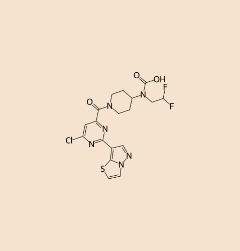 O=C(c1cc(Cl)nc(-c2cnn3ccsc23)n1)N1CCC(N(CC(F)F)C(=O)O)CC1